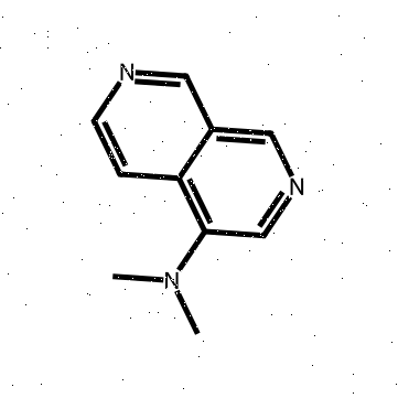 CN(C)c1cncc2cnccc12